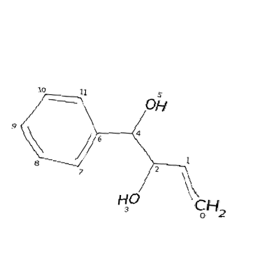 C=CC(O)C(O)c1ccccc1